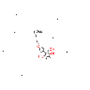 CCCCCCCCCCCCCCCCOc1ccc(-c2c(O)c(C)c(C)c(O)c2CO)cc1